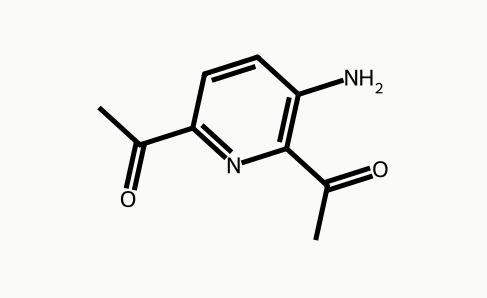 CC(=O)c1ccc(N)c(C(C)=O)n1